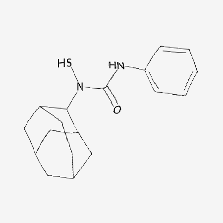 O=C(Nc1ccccc1)N(S)C1C2CC3CC(C2)CC1C3